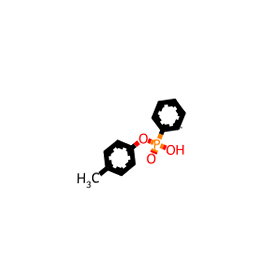 Cc1ccc(OP(=O)(O)c2[c]cccc2)cc1